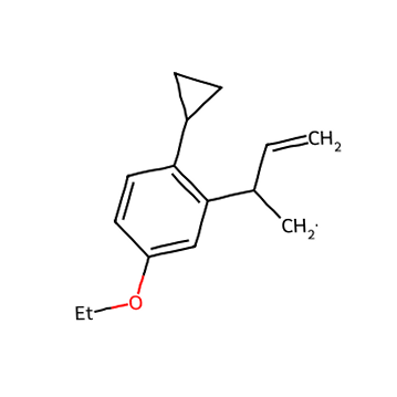 [CH2]C(C=C)c1cc(OCC)ccc1C1CC1